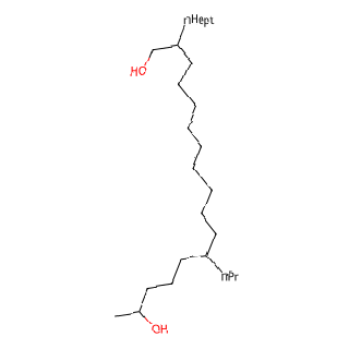 CCCCCCCC(CO)CCCCCCCCCC(CCC)CCCC(C)O